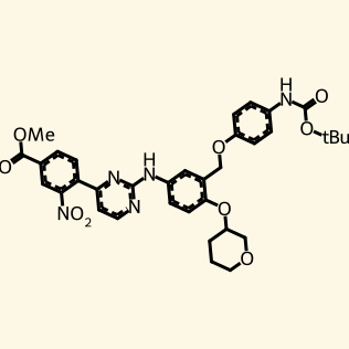 COC(=O)c1ccc(-c2ccnc(Nc3ccc(OC4CCCOC4)c(COc4ccc(NC(=O)OC(C)(C)C)cc4)c3)n2)c([N+](=O)[O-])c1